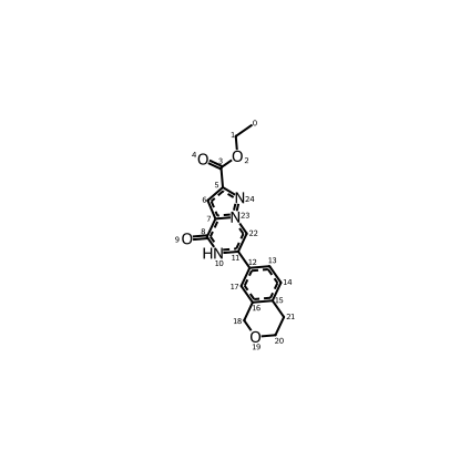 CCOC(=O)c1cc2c(=O)[nH]c(-c3ccc4c(c3)COCC4)cn2n1